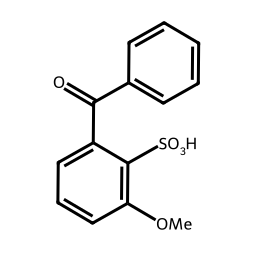 COc1cccc(C(=O)c2ccccc2)c1S(=O)(=O)O